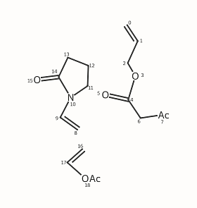 C=CCOC(=O)CC(C)=O.C=CN1CCCC1=O.C=COC(C)=O